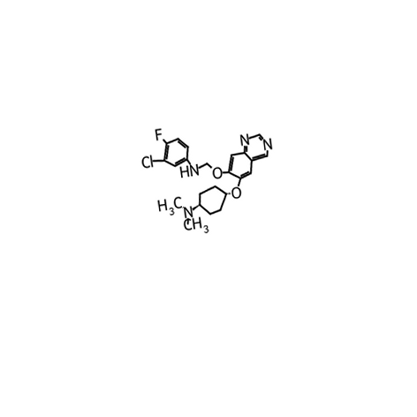 CN(C)[C@H]1CC[C@H](Oc2cc3cncnc3cc2OCNc2ccc(F)c(Cl)c2)CC1